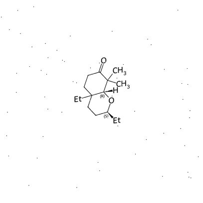 CC[C@H]1CCC2(CC)CCC(=O)C(C)(C)[C@@H]2O1